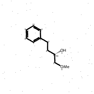 COC[C@@H](O)CCc1ccccc1